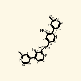 Cc1cc(-c2ccnc(NCc3cnc(-c4ccnc(C)c4)c(C#N)c3)c2F)ccn1